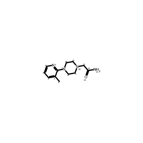 Cc1cccnc1N1CCN(CC(N)=O)CC1